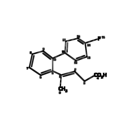 CC(=CCC(=O)O)c1ccccc1-c1ccc(F)cc1